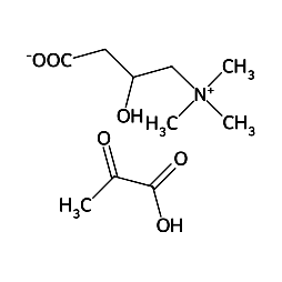 CC(=O)C(=O)O.C[N+](C)(C)CC(O)CC(=O)[O-]